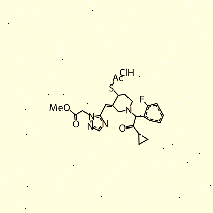 COC(=O)Cn1ncnc1C=C1CN(C(C(=O)C2CC2)c2ccccc2F)CCC1SC(C)=O.Cl